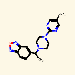 CC(=O)Nc1cnc(N2CCN(C(C)c3ccc4nonc4c3)CC2)nc1